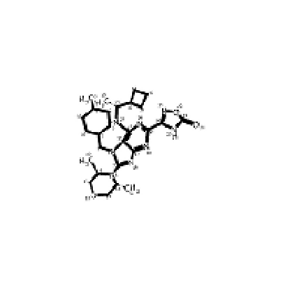 CC1CCC(Cn2c(N3[C@H](C)COC[C@H]3C)nc3nc(-c4noc(=O)[nH]4)nc(N[C@H](C)C4CCC4)c32)CC1